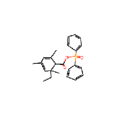 CCC1(C)C=C(C)C=C(C)C1C(=O)OP(=O)(c1ccccc1)c1ccccc1